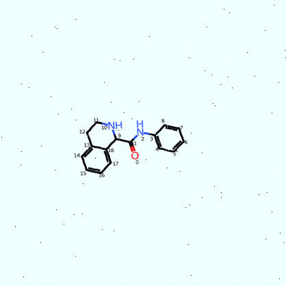 O=C(Nc1c[c]ccc1)C1NCCc2ccccc21